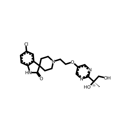 C[C@@](O)(CO)c1ncc(OCCN2CCC3(CC2)C(=O)Nc2ccc(Cl)cc23)cn1